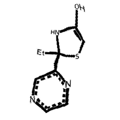 CCC1(c2cnccn2)NC(O)=CS1